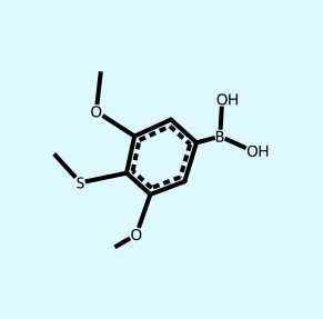 COc1cc(B(O)O)cc(OC)c1SC